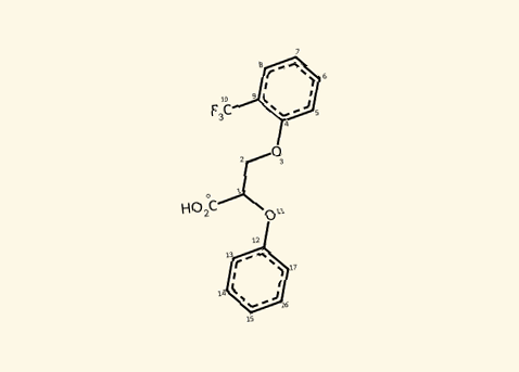 O=C(O)C(COc1ccccc1C(F)(F)F)Oc1ccccc1